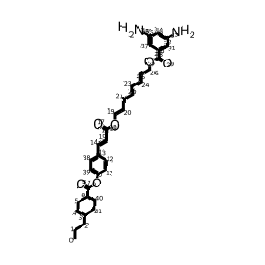 CCCC1CCC(C(=O)Oc2ccc(C=CC(=O)OCCCCCCCCOC(=O)c3cc(N)cc(N)c3)cc2)CC1